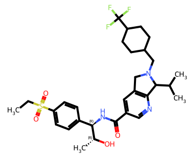 CCS(=O)(=O)c1ccc([C@@H](NC(=O)c2cnc3c(c2)CN(CC2CCC(C(F)(F)F)CC2)C3C(C)C)[C@@H](C)O)cc1